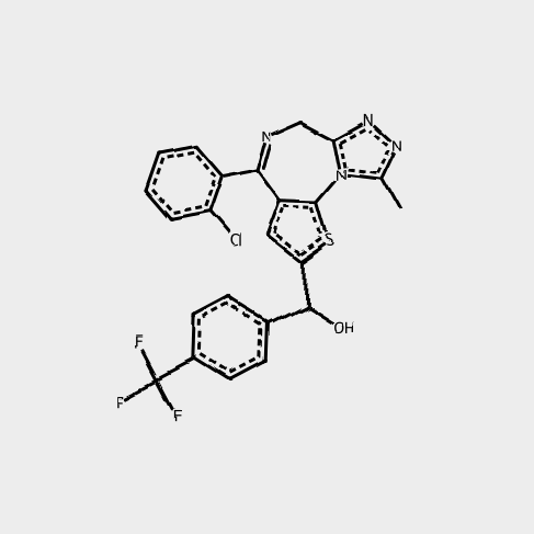 Cc1nnc2n1-c1sc(C(O)c3ccc(C(F)(F)F)cc3)cc1C(c1ccccc1Cl)=NC2